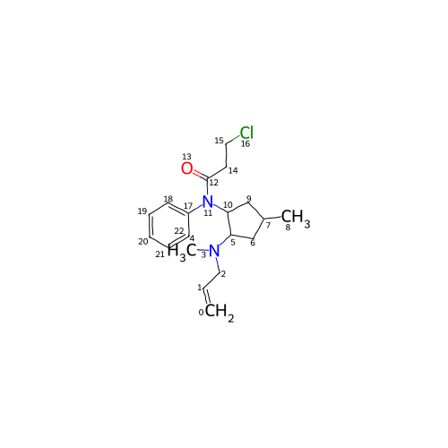 C=CCN(C)C1CC(C)CC1N(C(=O)CCCl)c1ccccc1